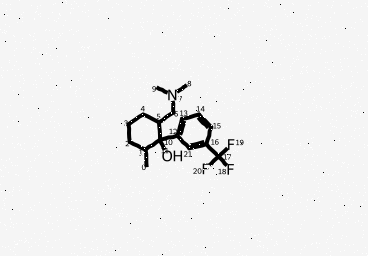 CC1CCCC(CN(C)C)C1(O)c1cccc(C(F)(F)F)c1